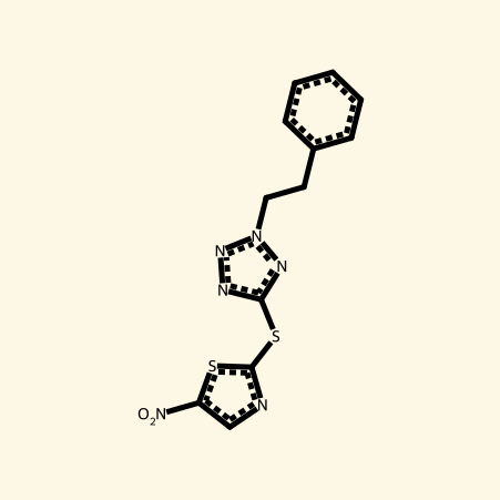 O=[N+]([O-])c1cnc(Sc2nnn(CCc3ccccc3)n2)s1